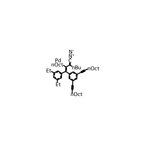 CCCCCCCCC#Cc1cc(C#CCCCCCCCC)cc(C(=C(CCCCCCCC)C(=C=[N+]=[N-])CCCC)c2cc(CC)cc(CC)c2)c1.[Pd]